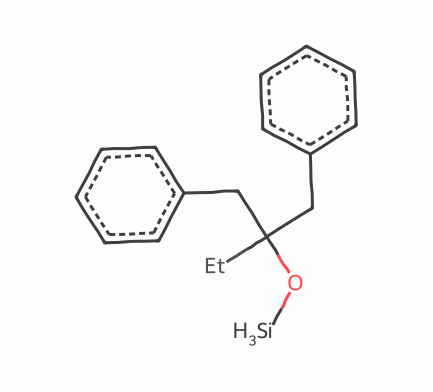 CCC(Cc1ccccc1)(Cc1ccccc1)O[SiH3]